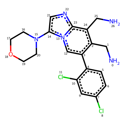 NCc1c(-c2ccc(Cl)cc2Cl)cn2c(N3CCOCC3)cnc2c1CN